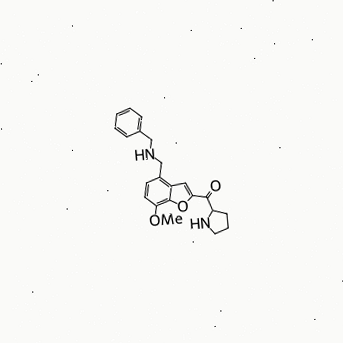 COc1ccc(CNCc2ccccc2)c2cc(C(=O)C3CCCN3)oc12